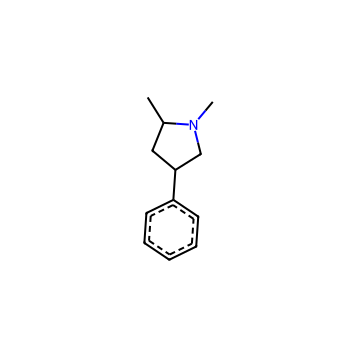 CC1CC(c2ccccc2)CN1C